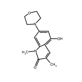 Cc1cc2c(O)cc(N3CCOCC3)cc2n(C)c1=O